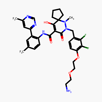 CN1N(Cc2ccc(OCCOCCN)c(F)c2F)C(=O)C(C(=O)Nc2ccc(C(F)(F)F)cc2-c2cc(C(F)(F)F)ncn2)=C(O)C12CCCC2